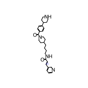 O=C(/C=C/c1cccnc1)NCCCCC1CCN(C(=O)c2ccc(C3CCNCC3)cc2)CC1